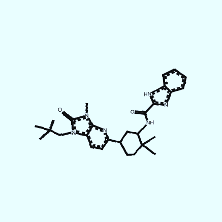 Cn1c(=O)n(CC(C)(C)C)c2ccc(C3CCC(C)(C)C(NC(=O)c4nc5ccccc5[nH]4)C3)nc21